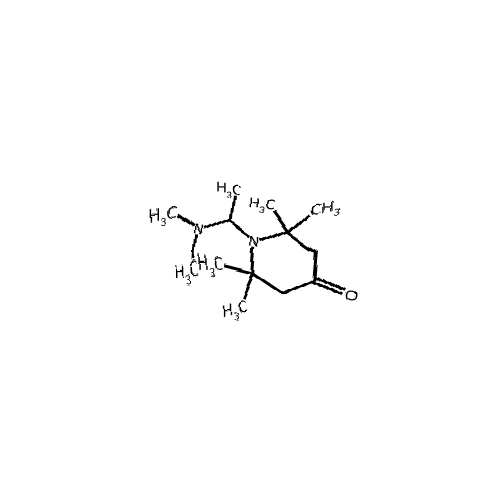 CC(N(C)C)N1C(C)(C)CC(=O)CC1(C)C